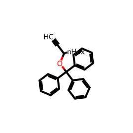 C#CC(CCCCCC)OC(c1ccccc1)(c1ccccc1)c1ccccc1